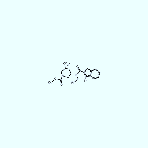 CC(C)CN(C(=O)c1nc2ccccc2n1C(C)C)[C@H]1C[C@@H](C(=O)O)CN(C(=O)OC(C)(C)C)C1